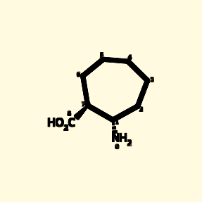 N[C@H]1CCCCC[C@@H]1C(=O)O